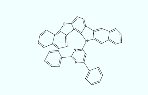 c1ccc(-c2cc(-n3c4cc5ccccc5cc4c4ccc5oc6c7ccccc7ccc6c5c43)nc(-c3ccccc3)n2)cc1